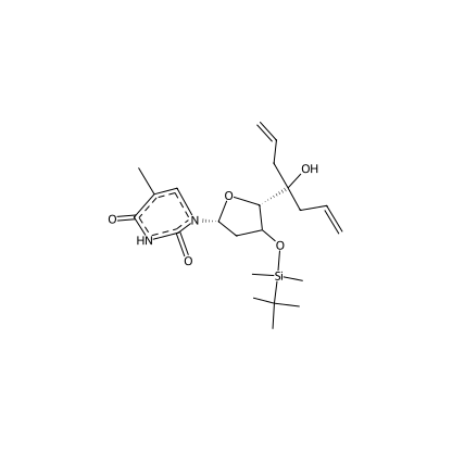 C=CCC(O)(CC=C)[C@H]1O[C@@H](n2cc(C)c(=O)[nH]c2=O)CC1O[Si](C)(C)C(C)(C)C